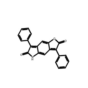 O=C1Nc2cc3c(cc2=C1c1ccccc1)OC(=O)C=3c1ccccc1